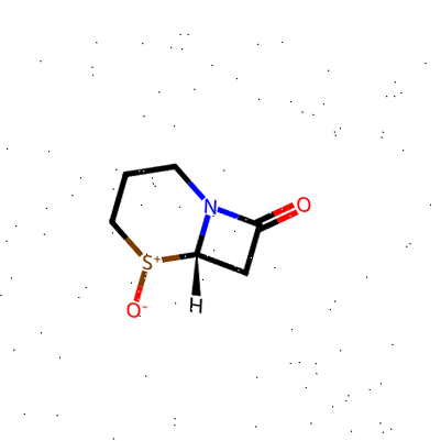 O=C1C[C@H]2N1CCC[S+]2[O-]